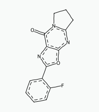 O=c1c2nc(-c3ccccc3F)oc2nc2n1CCC2